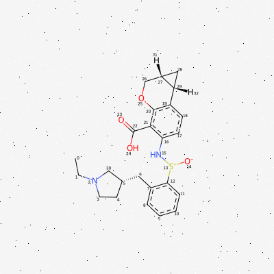 CCN1CC[C@@H](Cc2ccccc2[S+]([O-])Nc2ccc3c(c2C(=O)O)OC[C@@H]2C[C@H]32)C1